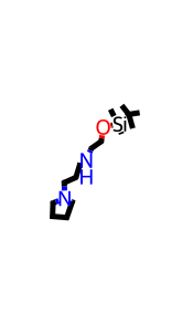 CC(C)(C)[Si](C)(C)OCCNCCCN1CCCC1